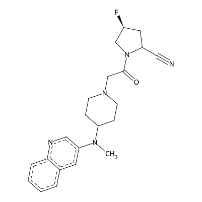 CN(c1cnc2ccccc2c1)C1CCN(CC(=O)N2C[C@@H](F)CC2C#N)CC1